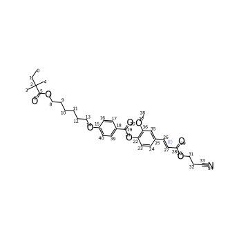 CCC(C)(C)C(=O)OCCCCCCOc1ccc(C(=O)Oc2ccc(/C=C/C(=O)OCCC#N)cc2OC)cc1